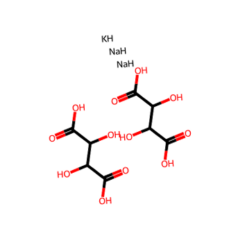 O=C(O)C(O)C(O)C(=O)O.O=C(O)C(O)C(O)C(=O)O.[KH].[NaH].[NaH]